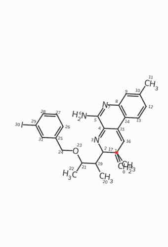 C=CC(/N=C1/C(N)=Nc2cc(C)ccc2/C1=C/CC)C(C)C(C)OCc1cccc(I)c1